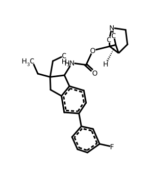 CCC1(CC)Cc2cc(-c3cccc(F)c3)ccc2C1NC(=O)O[C@H]1CN2CCC1CC2